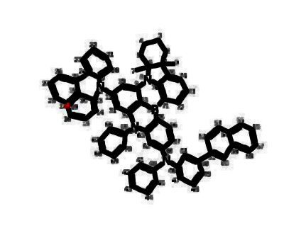 CC12CCCCC1(C)N1c3cc(N(c4ccccc4)c4ccccc4-c4ccccc4)cc4c3B(c3ccc(N(c5ccccc5)c5cccc(-c6ccc7ccccc7c6)c5)cc3N4c3ccccc3)c3cccc2c31